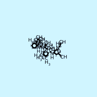 C#CCCC(NC(=O)[C@@H]1CC(C)(C)C(C)CN1C(=O)[C@@H](NC(=O)NC1(CS(=O)(=O)C(C)(C)C)CCCCC1)C(C)(C)C)C(=O)C(=O)NCC#C